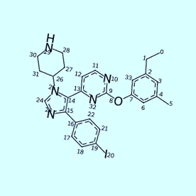 CCc1cc(C)cc(Oc2nccc(-c3c(-c4ccc(I)cc4)ncn3C3CCNCC3)n2)c1